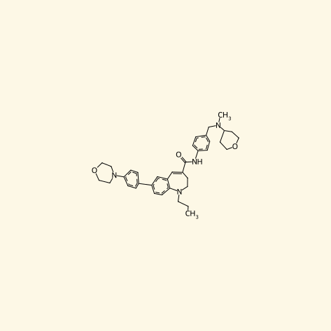 CCCN1CCC(C(=O)Nc2ccc(CN(C)C3CCOCC3)cc2)=Cc2cc(-c3ccc(N4CCOCC4)cc3)ccc21